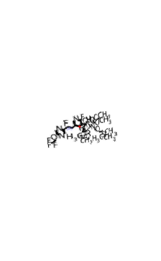 CN(C)C(=O)[C@]12C[C@H]1[C@@](C)(c1cc(/C=C(\F)c3cnc(OCC(F)(F)F)cn3)cnc1F)N=C(N(COCC[Si](C)(C)C)C(=O)OC(C)(C)C)S2